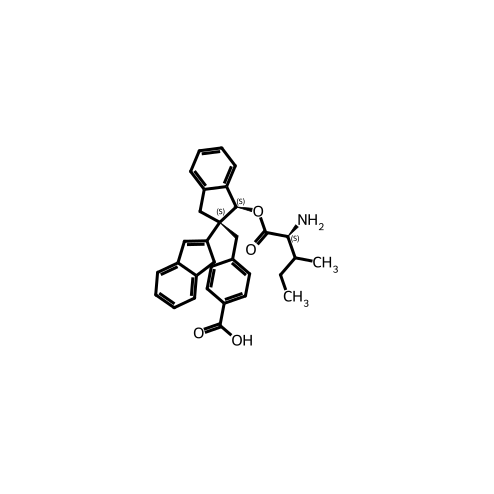 CCC(C)[C@H](N)C(=O)O[C@@H]1c2ccccc2C[C@@]1(Cc1ccc(C(=O)O)cc1)C1=Cc2ccccc2C1